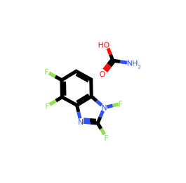 Fc1ccc2c(nc(F)n2F)c1F.NC(=O)O